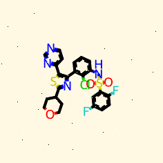 O=S(=O)(Nc1cccc(-c2nc(C3CCOCC3)sc2-c2ccncn2)c1Cl)c1cc(F)ccc1F